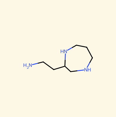 NCCC1CNCCCN1